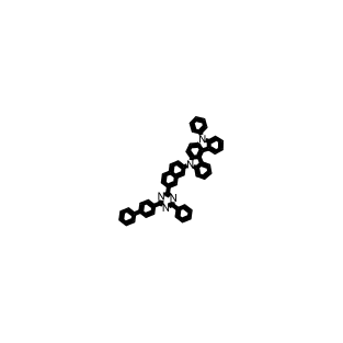 c1ccc(-c2ccc(-c3nc(-c4ccccc4)nc(-c4ccc5ccc(-n6c7ccccc7c7c8c9ccccc9n(-c9ccccc9)c8ccc76)cc5c4)n3)cc2)cc1